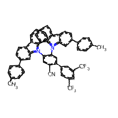 Cc1ccc(-c2ccc3c4ccccc4n(-c4cc(C#N)c(-c5cc(C(F)(F)F)cc(C(F)(F)F)c5)cc4-n4c5ccccc5c5ccc(-c6ccc(C)cc6)cc54)c3c2)cc1